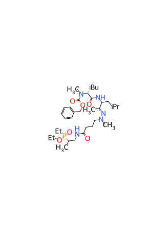 CCOP(=O)(CC)C(C)CNC(=O)CCCN(C)/N=C(\C)C(CC(C)C)NC(=O)[C@H]([C@@H](C)CC)N(C)C(=O)OCc1ccccc1